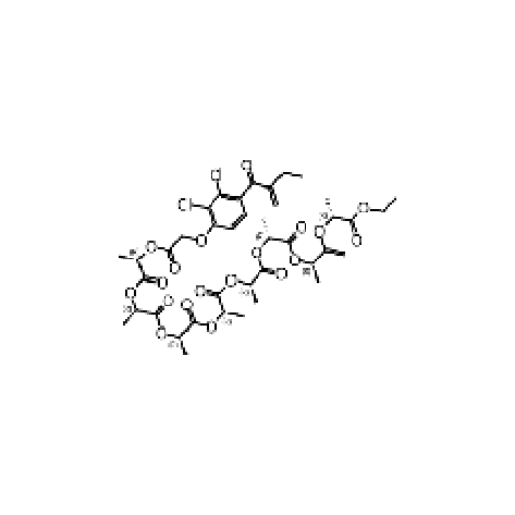 C=C(CC)C(=O)c1ccc(OCC(=O)O[C@H](C)C(=O)O[C@H](C)C(=O)O[C@H](C)C(=O)O[C@H](C)C(=O)O[C@H](C)C(=O)O[C@H](C)C(=O)O[C@H](C)C(=C)O[C@H](C)C(=O)OCC)c(Cl)c1Cl